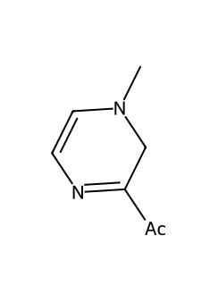 CC(=O)C1=NC=CN(C)C1